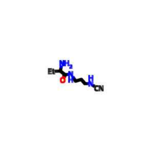 CCC(N)C(=O)NCCCNC#N